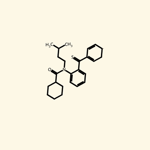 CC(C)CCN(C(=O)C1CCCCC1)c1ccccc1C(=S)C1=CC[CH]C=C1